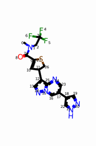 CN(CC(F)(F)F)C(=O)C1=CC(c2cnn3cc(-c4cn[nH]c4)cnc23)CS1